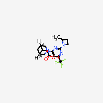 CC1CCN1c1nc(N2C[C@H]3C[C@@H](C2)C3CC(=O)O)cc(C(F)(F)F)n1